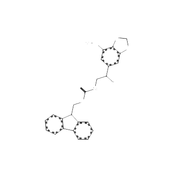 COc1cc(C(I)CNC(=O)OCC2c3ccccc3-c3ccccc32)cc2c1OCO2